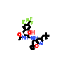 CC(=O)N[C@H](Cc1ccc(C(F)(F)F)c(F)c1)[C@H](O)CN[C@H]1CC2(CCC2)Oc2ncc(CC(C)(C)C)cc21